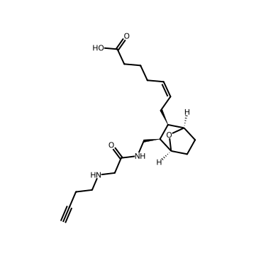 C#CCCNCC(=O)NC[C@H]1[C@@H](C/C=C\CCCC(=O)O)[C@H]2CC[C@@H]1O2